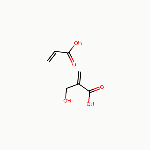 C=C(CO)C(=O)O.C=CC(=O)O